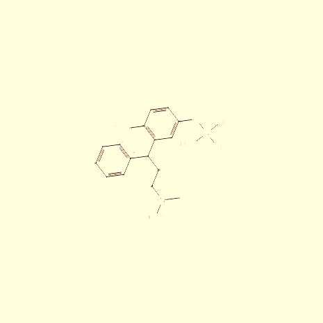 CC(=O)Oc1ccc(O[Si](C)(C)C(C)(C)C)cc1C(CCN(C(C)C)C(C)C)c1ccccc1